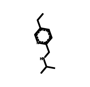 CCc1ccc(CNC(C)C)nc1